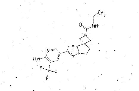 CCNC(=O)N1CC2(CCn3nc(-c4cnc(N)c(C(F)(F)F)c4)cc32)C1